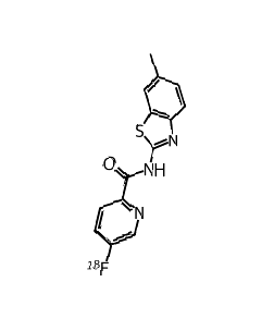 Cc1ccc2nc(NC(=O)c3ccc([18F])cn3)sc2c1